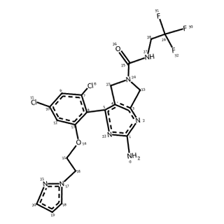 Nc1nc2c(c(-c3c(Cl)cc(Cl)cc3OCCn3cccn3)n1)CN(C(=O)NCC(F)(F)F)C2